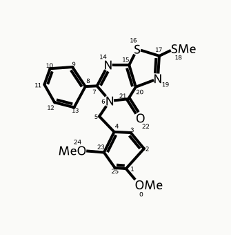 COc1ccc(Cn2c(-c3ccccc3)nc3sc(SC)nc3c2=O)c(OC)c1